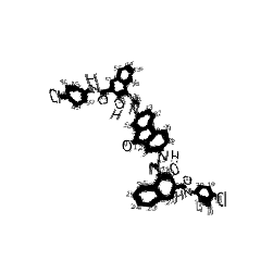 O=C1c2cc(N=Nc3c(O)c(C(=O)Nc4ccc(Cl)cc4)cc4ccccc34)ccc2-c2ccc(N=Nc3c(O)c(C(=O)Nc4ccc(Cl)cc4)cc4ccccc34)cc21